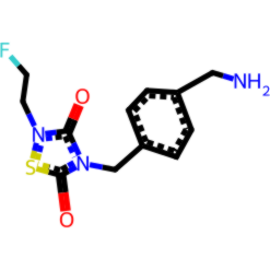 NCc1ccc(Cn2c(=O)sn(CCF)c2=O)cc1